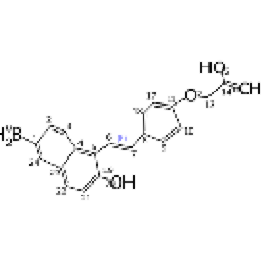 Bc1ccc2c(/C=C/c3ccc(OCC(=C)O)cc3)c(O)ccc2c1